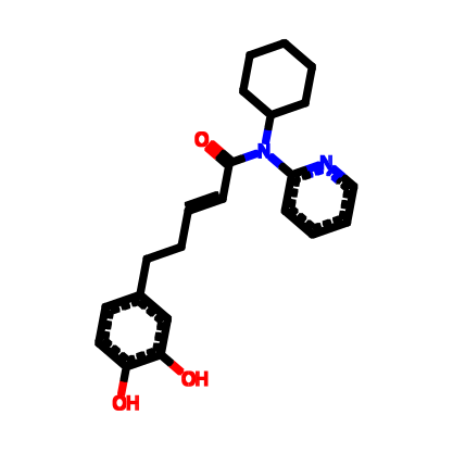 O=C(/C=C/CCc1ccc(O)c(O)c1)N(c1ccccn1)C1CCCCC1